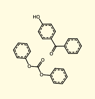 O=C(Oc1ccccc1)Oc1ccccc1.O=C(c1ccccc1)c1ccc(O)cc1